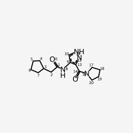 O=C(CC1CCCC1)Nc1c[nH]nc1C(=O)N1CCCC1